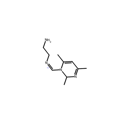 CC1=CC(C)=NC(C)N1/C=N\CCN